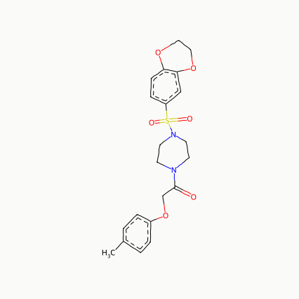 Cc1ccc(OCC(=O)N2CCN(S(=O)(=O)c3ccc4c(c3)OCCO4)CC2)cc1